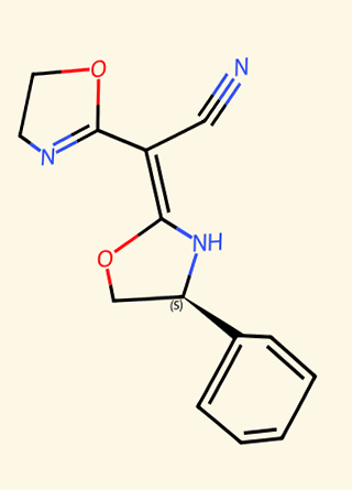 N#CC(C1=NCCO1)=C1N[C@@H](c2ccccc2)CO1